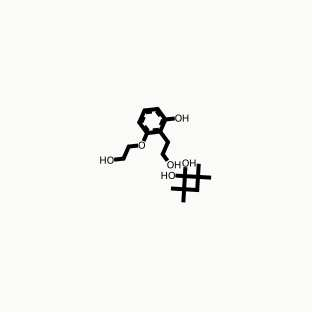 CC1(C)CC(C)(C)C1(O)O.OCCOc1cccc(O)c1CCO